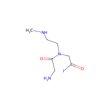 CNCCN(CC(=O)I)C(=O)CN